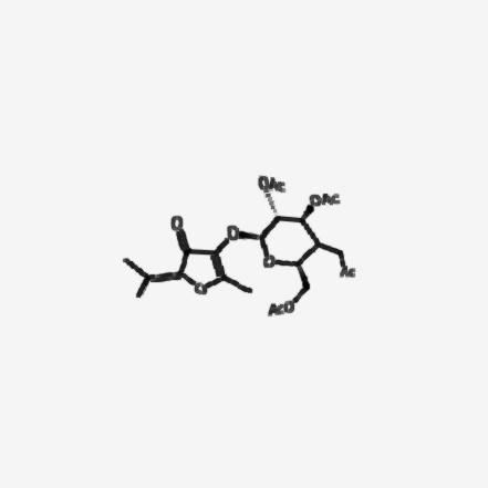 CC(=O)CC1[C@@H](COC(C)=O)O[C@@H](OC2=C(C)OC(=C(C)C)C2=O)[C@H](OC(C)=O)[C@H]1OC(C)=O